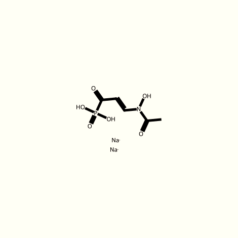 CC(=O)N(O)C=CC(=O)P(=O)(O)O.[Na].[Na]